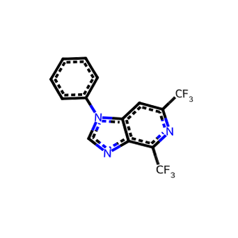 FC(F)(F)c1cc2c(ncn2-c2ccccc2)c(C(F)(F)F)n1